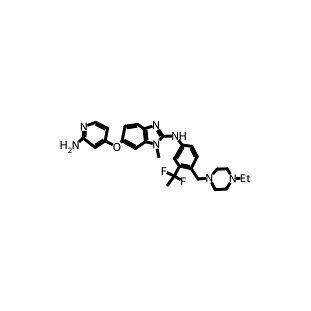 CCN1CCN(Cc2ccc(Nc3nc4ccc(Oc5ccnc(N)c5)cc4n3C)cc2C(C)(F)F)CC1